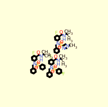 CC(C)NC(=O)c1cc(N(Cc2ccccc2)S(=O)(=O)c2ccc(F)cc2)ccc1F.CC(C)NC(=O)c1cc(N(Cc2ccccc2)S(=O)(=O)c2ccccc2)ccc1F.CC(C)NC(=O)c1cc(N(Cc2ccccc2)S(=O)(=O)c2cn(C)cn2)ccc1F